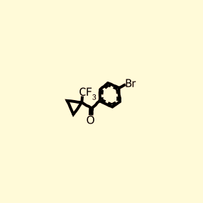 O=C(c1ccc(Br)cc1)C1(C(F)(F)F)CC1